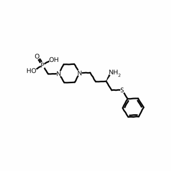 N[C@H](CCN1CCN(CP(=O)(O)O)CC1)CSc1ccccc1